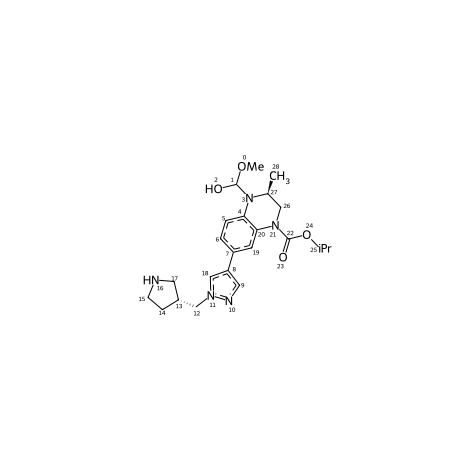 COC(O)N1c2ccc(-c3cnn(C[C@@H]4CCNC4)c3)cc2N(C(=O)OC(C)C)C[C@@H]1C